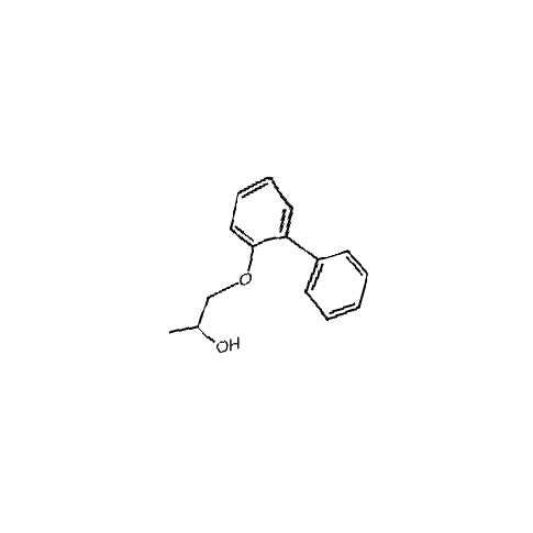 CC(O)COc1ccccc1-c1ccccc1